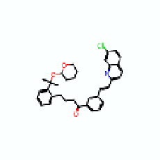 CC(C)(OC1CCCCO1)c1ccccc1CCCC(=O)c1cccc(C=Cc2ccc3ccc(Cl)cc3n2)c1